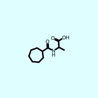 CC(NC(=O)C1CCCCCC1)C(=O)O